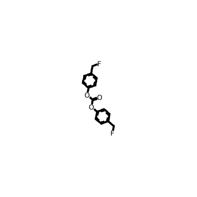 O=C(Oc1ccc(CF)cc1)Oc1ccc(CF)cc1